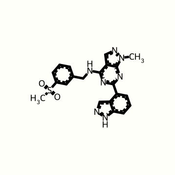 Cn1ncc2c(NCc3cccc(S(C)(=O)=O)c3)nc(-c3cccc4[nH]ncc34)nc21